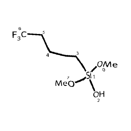 CO[Si](O)(CCCC(F)(F)F)OC